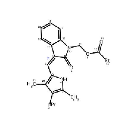 CCCc1c(C)[nH]c(/C=C2\C(=O)N(COC(=O)CC)c3ccccc32)c1C